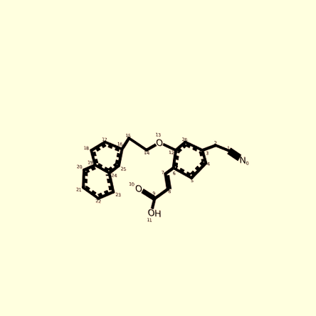 N#CCc1ccc(/C=C/C(=O)O)c(OCCc2ccc3ccccc3c2)c1